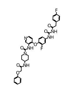 O=C(Cc1ccc(F)cc1)NC(=O)Nc1ccc(Oc2ccncc2NC(=O)N2CCC(NC(=O)COc3ccccc3)CC2)c(F)c1